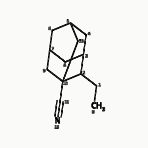 CCC1C2CC3CC(C2)CC1(C#N)C3